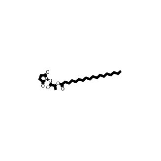 CCCCCCCCCCCCCCCCCC(=O)OC(C)C(=O)ON1C(=O)CCC1=O